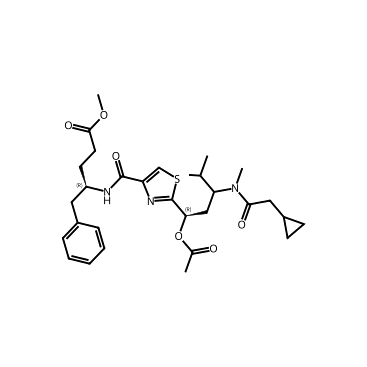 COC(=O)CC[C@H](Cc1ccccc1)NC(=O)c1csc([C@@H](CC(C(C)C)N(C)C(=O)CC2CC2)OC(C)=O)n1